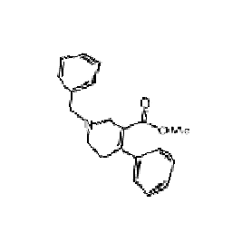 COC(=O)C1=C(c2ccccc2)CCN(Cc2ccccc2)C1